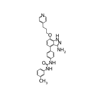 Cc1cccc(NC(=O)Nc2ccc(-c3ccc(OCCCc4ccncc4)c4[nH]nc(N)c34)cc2)c1